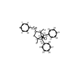 CC12CC([Se]c3ccccc3)C(C)(C1=O)C(c1ccccc1)=C2c1ccccc1